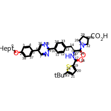 CCCCCCCOc1ccc(-c2cnc(-c3ccc(C[C@H](NC(=O)c4ccc(C(C)(C)C)s4)C(=O)N4CC[C@H](C(=O)O)C4)cc3)nc2)cc1